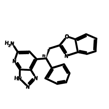 Nc1cc([C@H](Cc2nc3ccccc3o2)c2ccccc2)c2nn[nH]c2n1